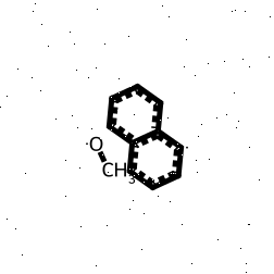 C[O].[c]1cccc2ccccc12